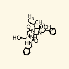 C#CCN1CC(=O)N2[C@@H](C(C)CC)C(=O)N(CC(C)c3ccccc3)C[C@@H]2N1C(=O)NCc1ccccc1